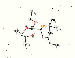 CCCCC(P[Si](C)(C)C)[Si](OCC)(OCC)OCC